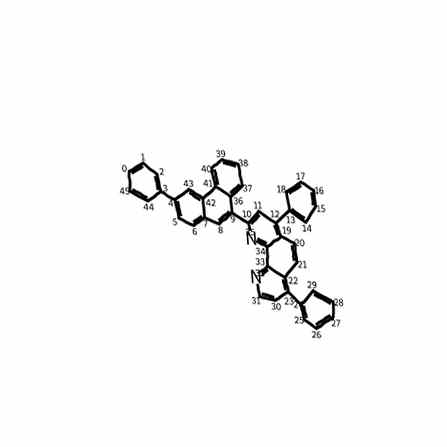 c1ccc(-c2ccc3cc(-c4cc(-c5ccccc5)c5ccc6c(-c7ccccc7)ccnc6c5n4)c4ccccc4c3c2)cc1